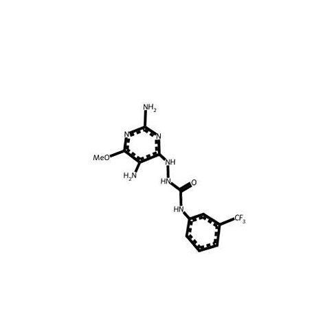 COc1nc(N)nc(NNC(=O)Nc2cccc(C(F)(F)F)c2)c1N